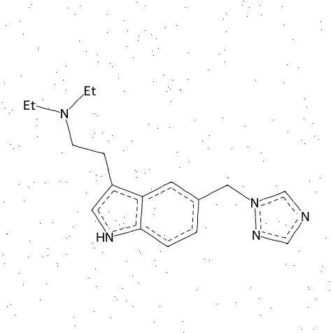 CCN(CC)CCc1c[nH]c2ccc(Cn3cncn3)cc12